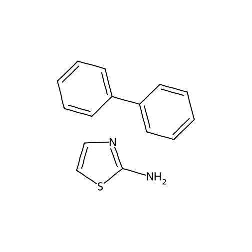 Nc1nccs1.c1ccc(-c2ccccc2)cc1